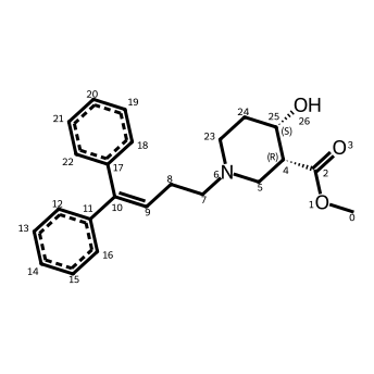 COC(=O)[C@@H]1CN(CCC=C(c2ccccc2)c2ccccc2)CC[C@@H]1O